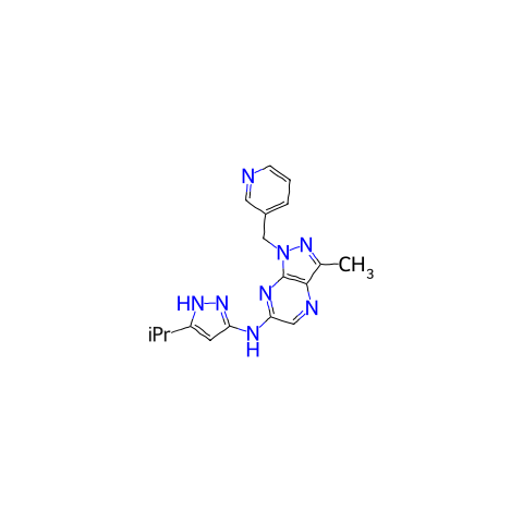 Cc1nn(Cc2cccnc2)c2nc(Nc3cc(C(C)C)[nH]n3)cnc12